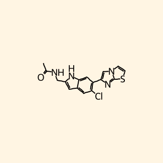 CC(=O)NCc1cc2cc(Cl)c(-c3cn4ccsc4n3)cc2[nH]1